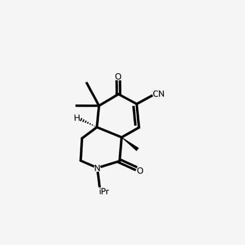 CC(C)N1CC[C@H]2C(C)(C)C(=O)C(C#N)=C[C@]2(C)C1=O